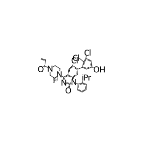 C=CC(=O)N1CCN(c2nc(=O)n(-c3ccccc3C(C)C)c3cc(-c4cc(O)cc(Cl)c4Cl)c(Cl)cc23)[C@@H](C)C1